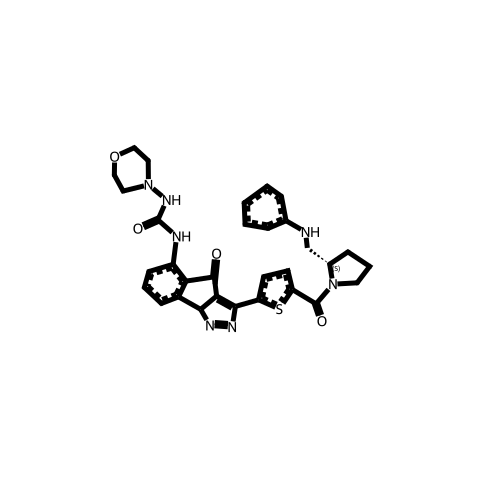 O=C(Nc1cccc2c1C(=O)C1=C(c3ccc(C(=O)N4CCC[C@H]4CNc4ccccc4)s3)N=NC12)NN1CCOCC1